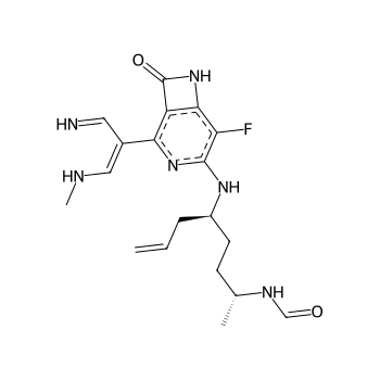 C=CC[C@H](CC[C@@H](C)NC=O)Nc1nc(/C(C=N)=C/NC)c2c(c1F)NC2=O